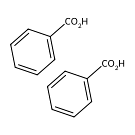 O=C(O)c1ccccc1.O=C(O)c1ccccc1